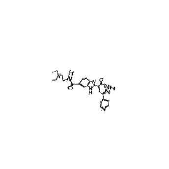 CCN(CC)CCNC(=O)c1ccc2nc(-c3cc(-c4ccncc4)n[nH]c3=O)[nH]c2c1